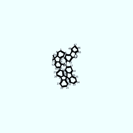 CC1(C)c2ccccc2-c2c(N(c3ccc4c(c3)C3(c5ccccc5-c5ccccc53)c3ccccc3-4)c3ccc4c(c3)oc3ccccc34)cccc21